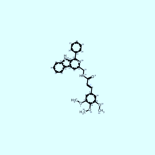 COc1cc(/C=C/C(=O)NCc2cc3c([nH]c4ccccc43)c(-c3ccccc3)n2)cc(OC)c1OC